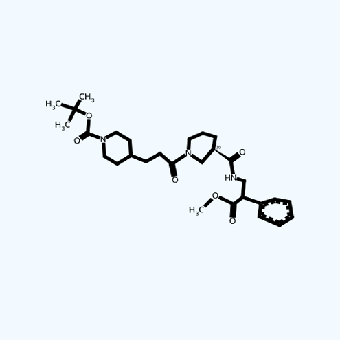 COC(=O)C(CNC(=O)[C@@H]1CCCN(C(=O)CCC2CCN(C(=O)OC(C)(C)C)CC2)C1)c1ccccc1